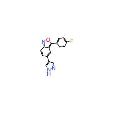 Fc1ccc(-c2onc3ccc(-c4cn[nH]c4)cc23)cc1